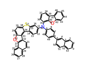 c1ccc2cc(-c3ccc(N(c4ccc5c(c4)sc4ccc6oc7c8ccccc8ccc7c6c45)c4cccc5c4oc4ccccc45)cc3)ccc2c1